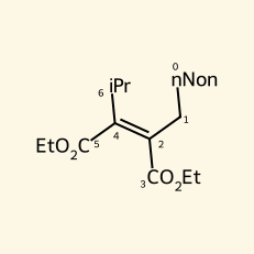 CCCCCCCCCCC(C(=O)OCC)=C(C(=O)OCC)C(C)C